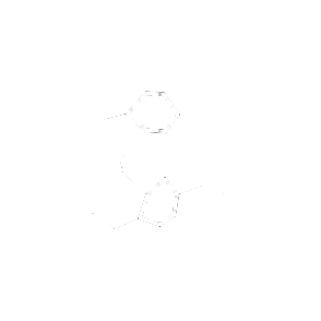 Cc1ccccc1.O=C(O)c1ccc(CBr)c(CBr)c1